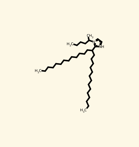 CCCCCCCCCCCCCCC(CCCCCCCCCCCCC)c1[nH]cc[n+]1C(C)CCCC